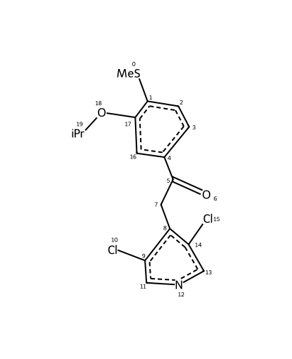 CSc1ccc(C(=O)Cc2c(Cl)cncc2Cl)cc1OC(C)C